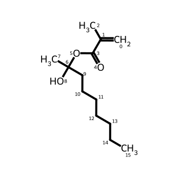 C=C(C)C(=O)OC(C)(O)CCCCCCC